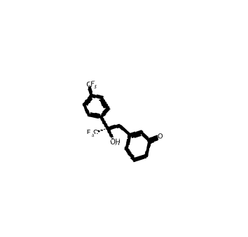 O=C1C=C(C[C@@](O)(c2ccc(C(F)(F)F)cc2)C(F)(F)F)CCC1